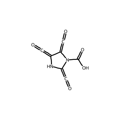 O=C=C1NC(=C=O)N(C(=O)O)C1=C=O